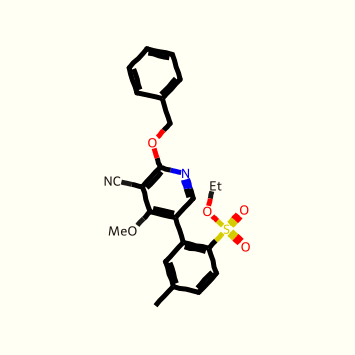 CCOS(=O)(=O)c1ccc(C)cc1-c1cnc(OCc2ccccc2)c(C#N)c1OC